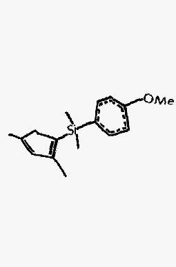 COc1ccc([Si](C)(C)C2=C(C)C=C(C)C2)cc1